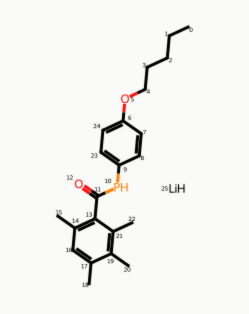 CCCCCOc1ccc(PC(=O)c2c(C)cc(C)c(C)c2C)cc1.[LiH]